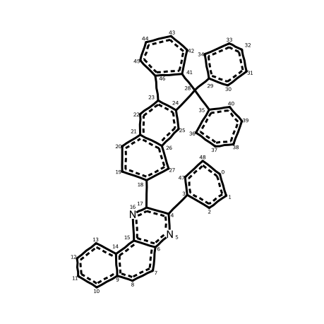 c1ccc(-c2nc3ccc4ccccc4c3nc2-c2ccc3cc4c(cc3c2)C(c2ccccc2)(c2ccccc2)c2ccccc2-4)cc1